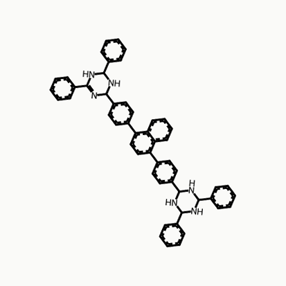 c1ccc(C2=NC(c3ccc(-c4ccc(-c5ccc(C6NC(c7ccccc7)NC(c7ccccc7)N6)cc5)c5ccccc45)cc3)NC(c3ccccc3)N2)cc1